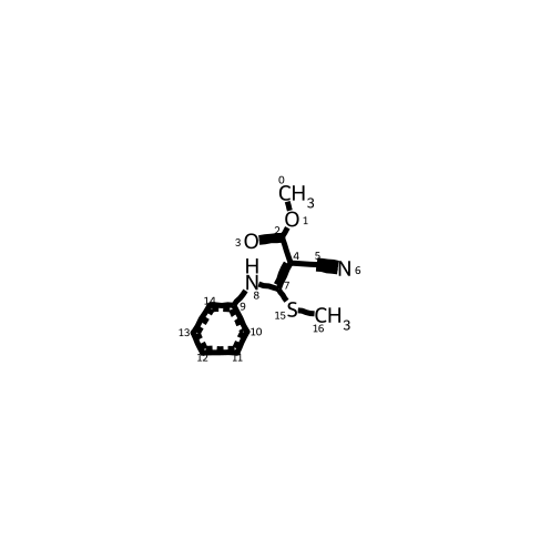 COC(=O)/C(C#N)=C(\Nc1ccccc1)SC